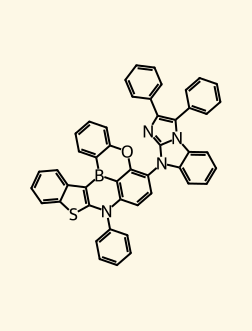 c1ccc(-c2nc3n(-c4ccc5c6c4Oc4ccccc4B6c4c(sc6ccccc46)N5c4ccccc4)c4ccccc4n3c2-c2ccccc2)cc1